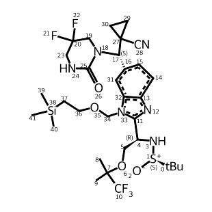 CC(C)(C)[S@@+]([O-])N[C@@H](COC(C)(C)C(F)(F)F)c1nc2ccc([C@H](N3CC(F)(F)CNC3=O)C3(C#N)CC3)cc2n1COCC[Si](C)(C)C